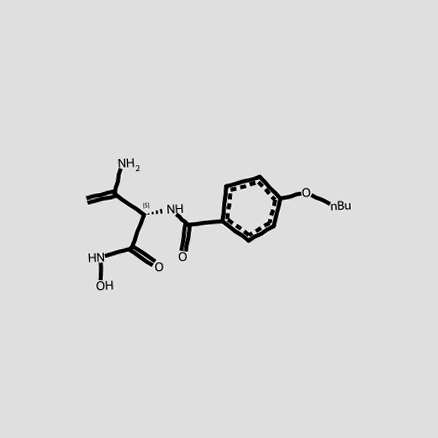 C=C(N)[C@H](NC(=O)c1ccc(OCCCC)cc1)C(=O)NO